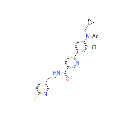 CC(=O)N(CC1CC1)c1ccc(-c2ccc(C(=O)NCCc3ccc(F)nc3)cn2)cc1Cl